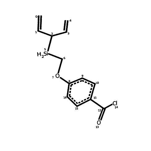 C=CC(C=C)[SiH2]COc1ccc(C(=O)Cl)cc1